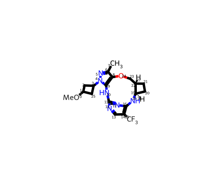 COC1CC(n2nc(C)c3c2Nc2ncc(C(F)(F)F)c(n2)N[C@@H]2CC[C@H]2CO3)C1